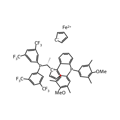 COc1c(C)cc(P(c2cc(C)c(OC)c(C)c2)c2ccccc2-c2ccc[c-]2[C@@H](C)P(c2cc(C(F)(F)F)cc(C(F)(F)F)c2)c2cc(C(F)(F)F)cc(C(F)(F)F)c2)cc1C.[Fe+2].c1cc[cH-]c1